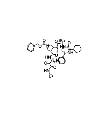 CCC[C@H](NC(=O)C1CN(C(=O)OCc2ccccc2)CC1NC(=O)C(NC(=O)[C@@H](NC(=O)c1cnccn1)C1CCCCC1)C(C)(C)C)C(=O)C(=O)NC1CC1